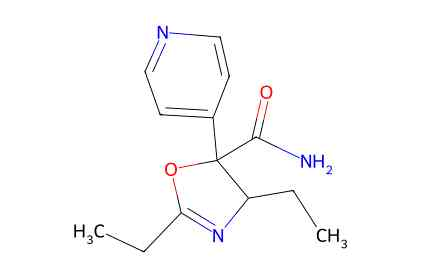 CCC1=NC(CC)C(C(N)=O)(c2ccncc2)O1